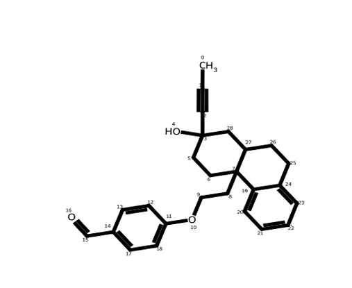 CC#CC1(O)CCC2(CCOc3ccc(C=O)cc3)c3cc[c]cc3CCC2C1